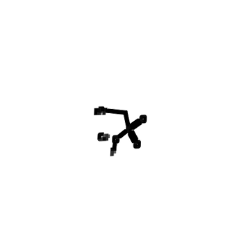 CCCCS(=O)(=O)OF.[Cu]